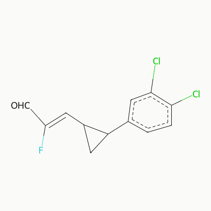 O=C/C(F)=C/C1CC1c1ccc(Cl)c(Cl)c1